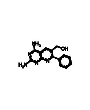 Nc1nc(N)c2cc(CO)c(-c3ccccc3)nc2n1